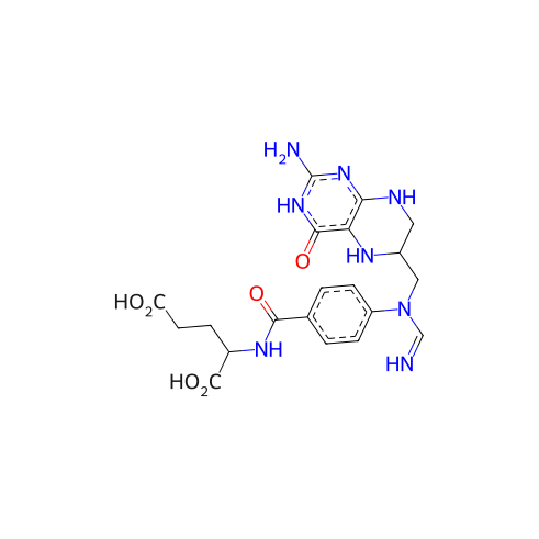 N=CN(CC1CNc2nc(N)[nH]c(=O)c2N1)c1ccc(C(=O)NC(CCC(=O)O)C(=O)O)cc1